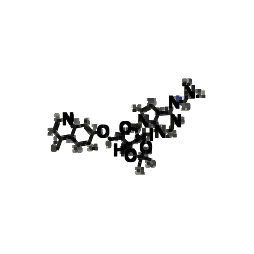 Cc1ccnc2cc(OC[C@H]3O[C@@H](n4ccc5c(/N=C/N(C)C)ncnc54)[C@@H]4OC(C)(C)O[C@@H]43)ccc12